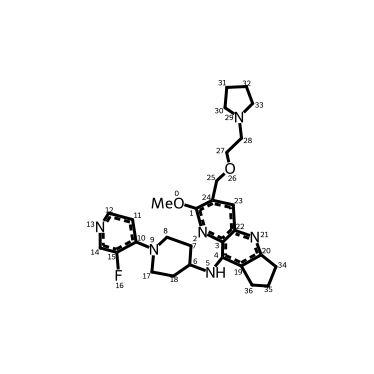 COc1nc2c(NC3CCN(c4ccncc4F)CC3)c3c(nc2cc1COCCN1CCCC1)CCC3